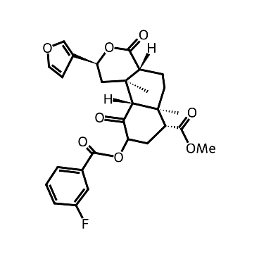 COC(=O)[C@@H]1CC(OC(=O)c2cccc(F)c2)C(=O)[C@H]2[C@@]1(C)CC[C@H]1C(=O)O[C@H](c3ccoc3)C[C@]21C